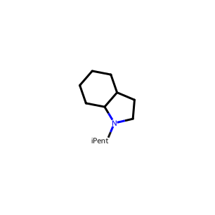 CCCC(C)N1CCC2CCCCC21